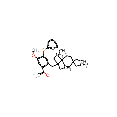 C=C(O)c1cc(OC)c(Sc2ccccc2)cc1CC(CC)(CC)C1(CC)CCC(CC)(CC)CC1